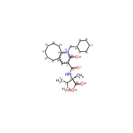 CC(C)[C@](C)(NC(=O)c1cc2c(n(CC3CCCCC3)c1=O)CCCCCC2)C(=O)O